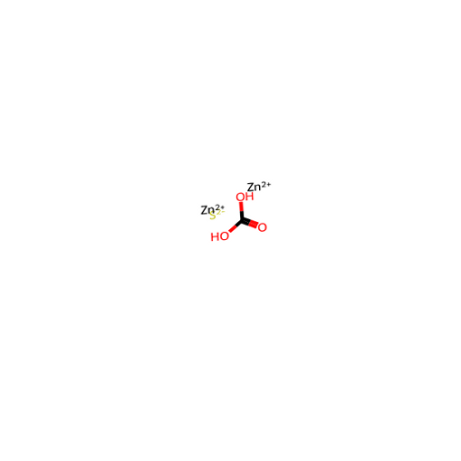 O=C(O)O.[S-2].[Zn+2].[Zn+2]